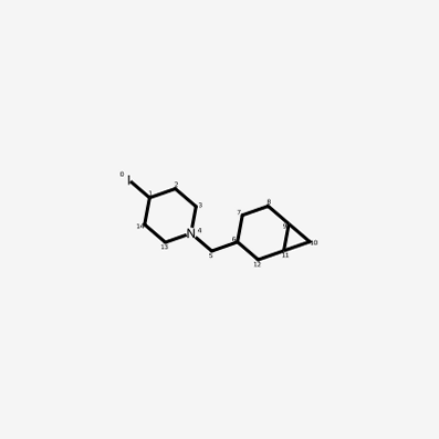 IC1CCN(CC2CCC3CC3C2)CC1